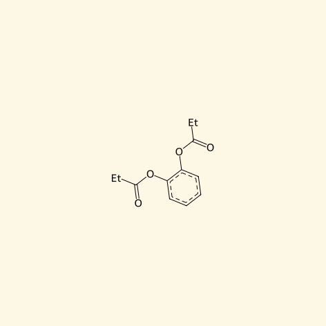 CCC(=O)Oc1ccccc1OC(=O)CC